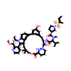 C/C=C(\C)S(=O)(=O)N1CC[C@H](C(=O)N(C)C(C(=O)N[C@H]2Cc3cc(O)cc(c3)-c3ccc4c(c3)c(c(-c3cccnc3[C@H](C)OC)n4CC)CC(C)(C)COC(=O)[C@@H]3CCCN(N3)C2=O)C(C)C)C1